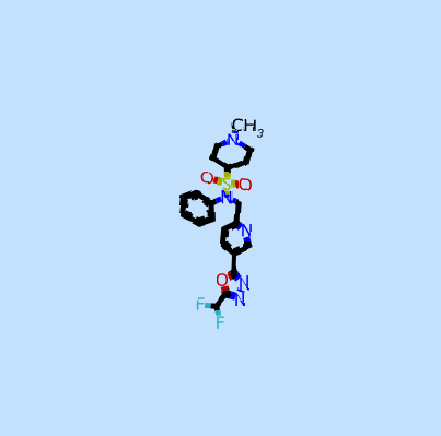 CN1CCC(S(=O)(=O)N(Cc2ccc(-c3nnc(C(F)F)o3)cn2)c2ccccc2)CC1